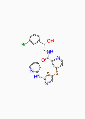 O=C(NC[C@@H](O)c1cccc(Br)c1)c1cc(Sc2cnc(Nc3ccccn3)s2)ccn1